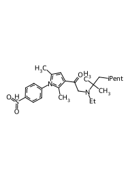 CCCC(C)CC(C)(C)N(CC)CC(=O)c1cc(C)n(-c2ccc([SH](=O)=O)cc2)c1C